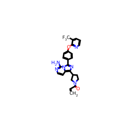 C=CC(=O)N1CCC(c2nc(-c3ccc(Oc4ncccc4C(F)(F)F)cc3)n3c(N)nccc23)C1